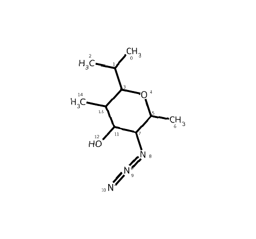 CC(C)C1OC(C)C(N=[N+]=[N-])C(O)C1C